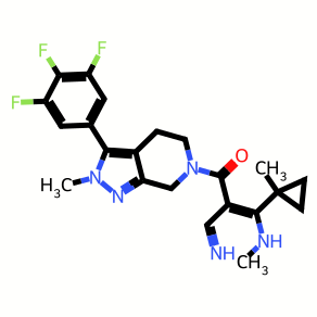 CN/C(=C(\C=N)C(=O)N1CCc2c(nn(C)c2-c2cc(F)c(F)c(F)c2)C1)C1(C)CC1